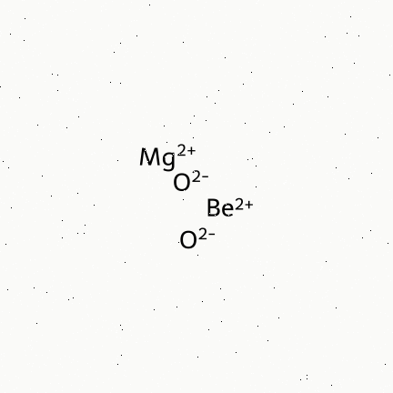 [Be+2].[Mg+2].[O-2].[O-2]